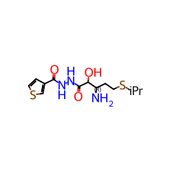 CC(C)SCC[C@@H](N)C(O)C(=O)NNC(=O)c1ccsc1